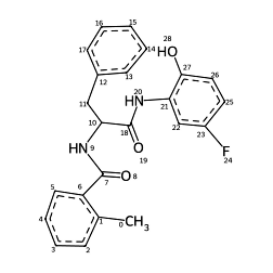 Cc1ccccc1C(=O)NC(Cc1ccccc1)C(=O)Nc1cc(F)ccc1O